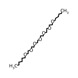 CCCCCCOCCOCCOCCOCCOCCOCCOCCCCCC